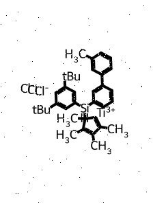 CC1=C(C)C(C)([SiH](c2cccc(-c3cccc(C)c3)c2)c2cc(C(C)(C)C)cc(C(C)(C)C)c2)[C]([Ti+3])=C1C.[Cl-].[Cl-].[Cl-]